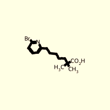 CC(C)(CCCCCc1cccc(Br)n1)C(=O)O